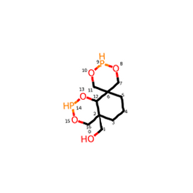 OC[C@]12CCCC3(COPOC3)C1OPOC2